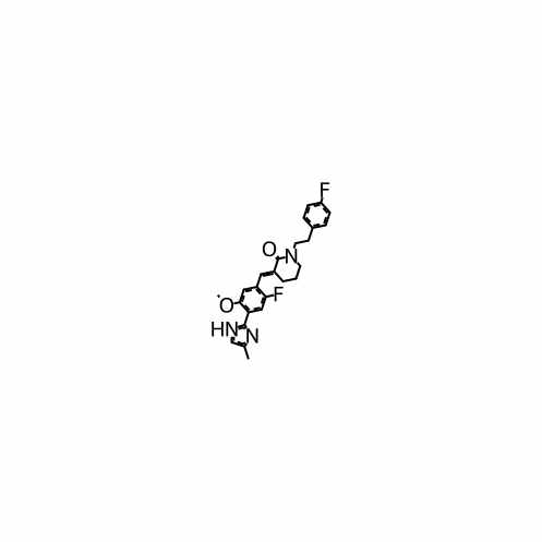 COc1cc(/C=C2\CCCN(CCc3ccc(F)cc3)C2=O)c(F)cc1-c1nc(C)c[nH]1